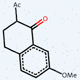 COc1ccc2c(c1)C(=O)C(C(C)=O)CC2